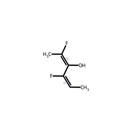 C/C=C(F)\C(O)=C(/C)F